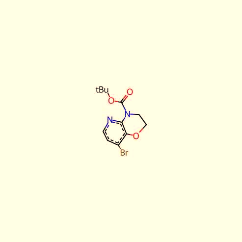 CC(C)(C)OC(=O)N1CCOc2c(Br)ccnc21